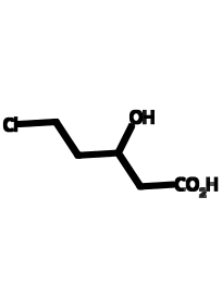 O=C(O)CC(O)CCCl